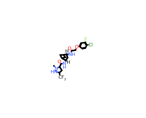 CN1NC(C(F)(F)F)CC1C(=O)N[C@@H]1C[C@H](NC(=O)COc2ccc(Cl)c(F)c2)C2CC1C2